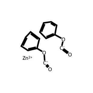 O=[C-]Oc1ccccc1.O=[C-]Oc1ccccc1.[Zn+2]